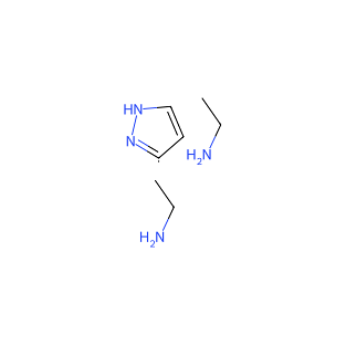 CCN.CCN.[c]1cc[nH]n1